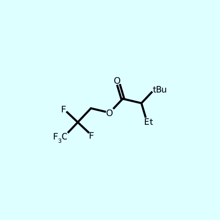 CCC(C(=O)OCC(F)(F)C(F)(F)F)C(C)(C)C